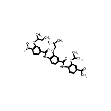 CCC(C)Oc1cc(C(=O)Nc2ccc(C(=O)Nc3ccc(C(N)=O)cc3OC(C)C)cc2OCC(C)C)ccc1[N+](=O)[O-]